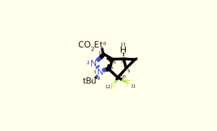 CCOC(=O)c1nn(C(C)(C)C)c2c1[C@H]1CC1C2(F)F